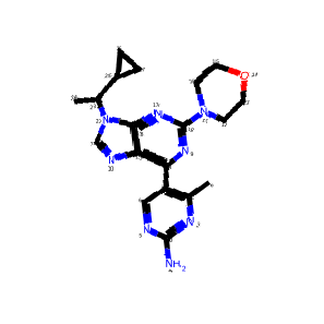 Cc1nc(N)ncc1-c1nc(N2CCOCC2)nc2c1ncn2C(C)C1CC1